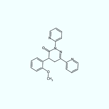 COc1ccccc1C1CC(c2ccccn2)=NN(c2ccccn2)C1=O